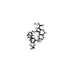 CSc1sc(C(N)=O)c2c1-c1nc(Nc3cc(N4C5CC4CN(C)C5)ccc3OC(F)(F)F)ncc1CC2